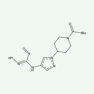 C=N/C(=N\CCC)Nc1cnn(C2CCN(C(=O)C(C)(C)C)CC2)c1